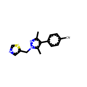 Cc1nn(Cc2cncs2)c(C)c1-c1ccc(C#N)cc1